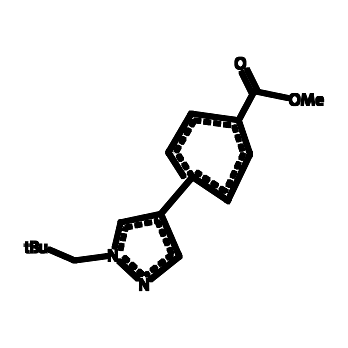 COC(=O)c1ccc(-c2cnn(CC(C)(C)C)c2)cc1